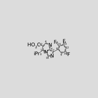 CC(C)c1c(C(=O)O)cnc2c(-c3cc(F)cc(F)c3F)ncn12